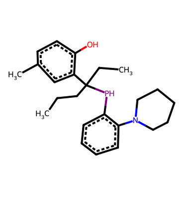 CCCC(CC)(Pc1ccccc1N1CCCCC1)c1cc(C)ccc1O